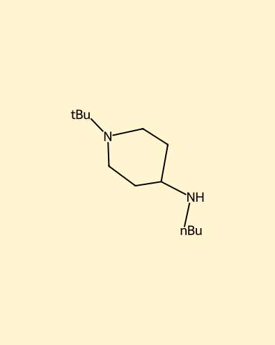 CCCCNC1CCN(C(C)(C)C)CC1